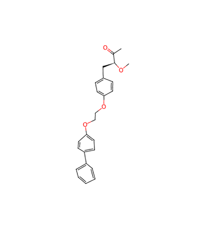 CO[C@@H](Cc1ccc(OCCOc2ccc(-c3ccccc3)cc2)cc1)C(C)=O